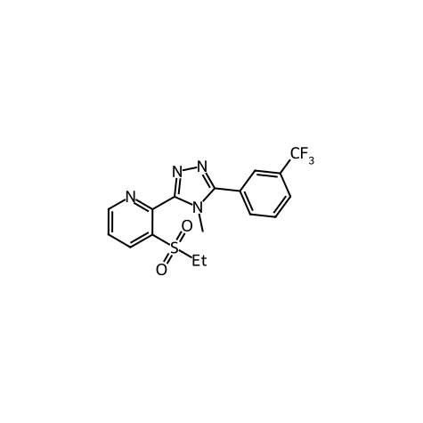 CCS(=O)(=O)c1cccnc1-c1nnc(-c2cccc(C(F)(F)F)c2)n1C